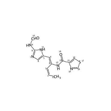 C/C=C\C(=C/c1cnc(NC=O)[nH]1)NC(=O)c1cscn1